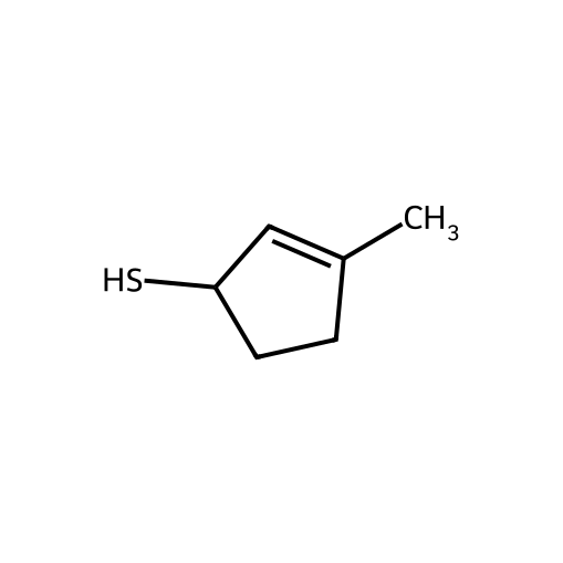 CC1=CC(S)CC1